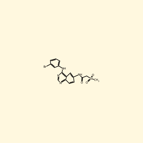 CS(=O)(=O)CC(=O)Nc1ccc2ncnc(Nc3cccc(Br)c3)c2c1